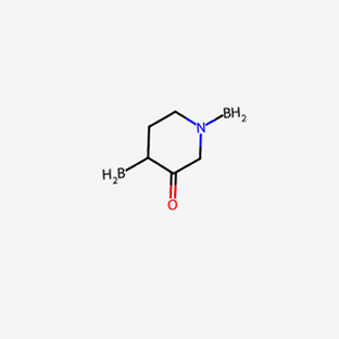 BC1CCN(B)CC1=O